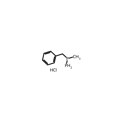 CP(P)Cc1ccccc1.Cl